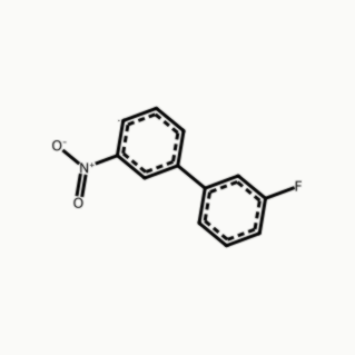 O=[N+]([O-])c1[c]ccc(-c2cccc(F)c2)c1